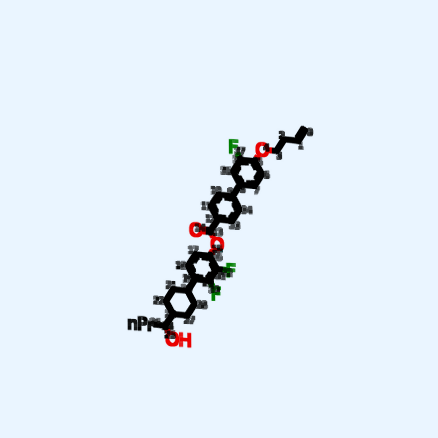 C=CCCOc1ccc(-c2ccc(C(=O)Oc3ccc(C4CCC(C(O)CCC)CC4)c(F)c3F)cc2)cc1F